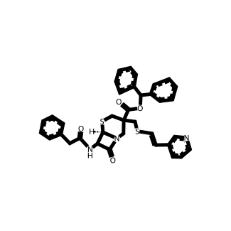 O=C(Cc1ccccc1)NC1C(=O)N2CC(CSC=Cc3cccnc3)(C(=O)OC(c3ccccc3)c3ccccc3)CS[C@H]12